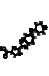 O=C(O)C1CSC(c2nc3ccc(OC4CCNCC4)cc3s2)=N1